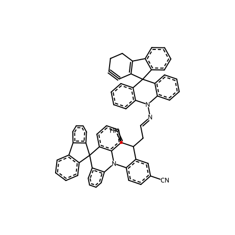 N#Cc1ccc(N2c3ccccc3C3(c4ccccc4-c4ccccc43)c3ccccc32)c(C(C=N)C/C=N/N2c3ccccc3C3(C4=C(CCC#C4)c4ccccc43)c3ccccc32)c1